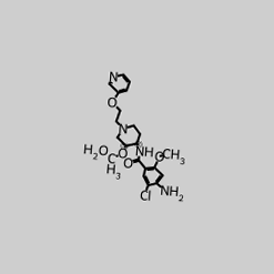 COc1cc(N)c(Cl)cc1C(=O)N[C@@H]1CCN(CCOc2cccnc2)C[C@@H]1OC.O